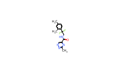 Cc1ccc(C(F)(F)CNC(=O)c2cnnc(C)n2)c(C)c1